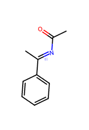 CC(=O)/N=C(\C)c1ccccc1